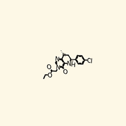 CCOC(=O)Cn1cnc2c(c1=O)N[C@H](c1ccc(Cl)cc1)C[C@H]2C